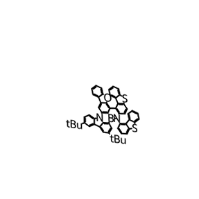 CC(C)(C)c1ccc2c(c1)c1cc(C(C)(C)C)cc3c1n2-c1cc2c(oc4ccccc42)c2c1B3N(c1cccc3sc4ccccc4c13)c1ccc3sc4ccccc4c3c1-2